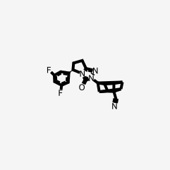 N#CC12C3C4C1C1C2C3C41n1nc2n(c1=O)[C@H](c1cc(F)cc(F)c1)CC2